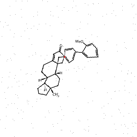 COc1ccccc1-c1ccc(C[C@]23CCC(=O)C=C2CC[C@@H]2[C@H]3CC[C@]3(C)CCC[C@@H]23)cc1